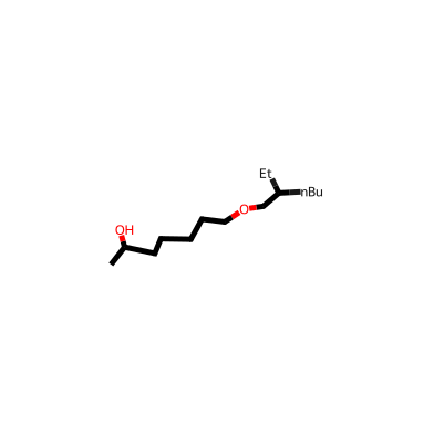 CCCCC(CC)COCCCCCC(C)O